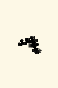 OB(O)O.OB(O)O.[Gd+3].[Mg+2].[O-]B(O)O.[O-]B([O-])[O-].[O-]B([O-])[O-].[Zn+2]